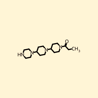 CCC(=O)N1CCC(N2CCC(N3CCNCC3)CC2)CC1